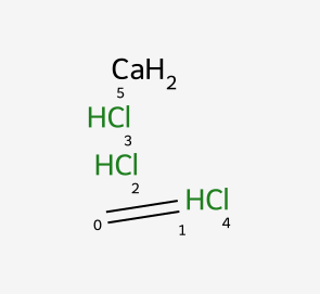 C=C.Cl.Cl.Cl.[CaH2]